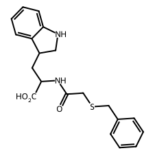 O=C(CSCc1ccccc1)NC(CC1CNc2ccccc21)C(=O)O